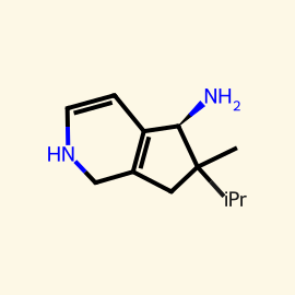 CC(C)C1(C)CC2=C(C=CNC2)[C@H]1N